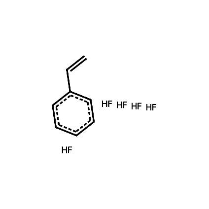 C=Cc1ccccc1.F.F.F.F.F